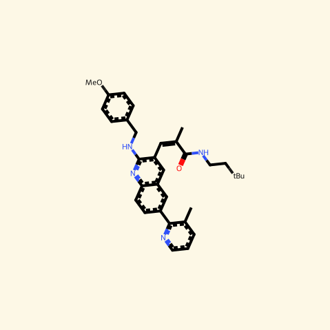 COc1ccc(CNc2nc3ccc(-c4ncccc4C)cc3cc2C=C(C)C(=O)NCCC(C)(C)C)cc1